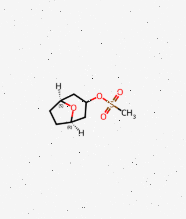 CS(=O)(=O)OC1C[C@H]2CC[C@@H](C1)O2